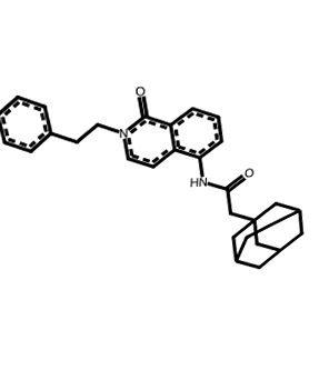 O=C(CC12CC3CC(CC(C3)C1)C2)Nc1cccc2c(=O)n(CCc3ccccc3)ccc12